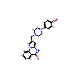 O=c1[nH]c2cc(CN3CCN(c4ccc(O)cc4)CC3)cn2c2ccccc12